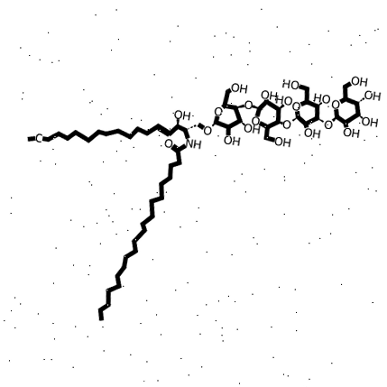 CCCCCCCCCCCCC/C=C/[C@@H](O)[C@H](CO[C@@H]1OC(CO)[C@@H](O[C@@H]2OC(CO)[C@H](O[C@@H]3OC(CO)[C@H](O)[C@H](O[C@H]4OC(CO)[C@H](O)[C@H](O)C4O)C3O)[C@H](O)C2O)[C@H](O)C1O)NC(=O)CCCCCCCCCCCCCCCCCCC